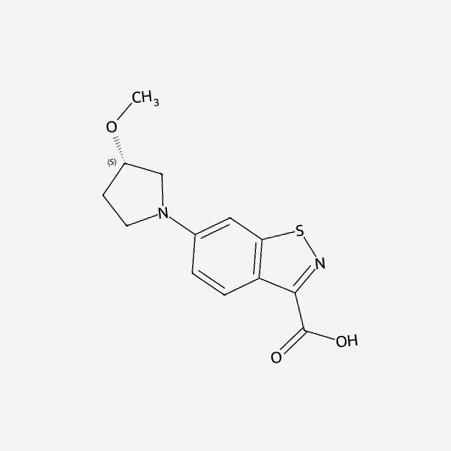 CO[C@H]1CCN(c2ccc3c(C(=O)O)nsc3c2)C1